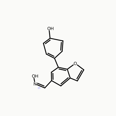 O/N=C\c1cc(-c2ccc(O)cc2)c2occc2c1